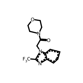 O=C(Cn1c(C(F)(F)F)nc2ccccc21)N1CCOCC1